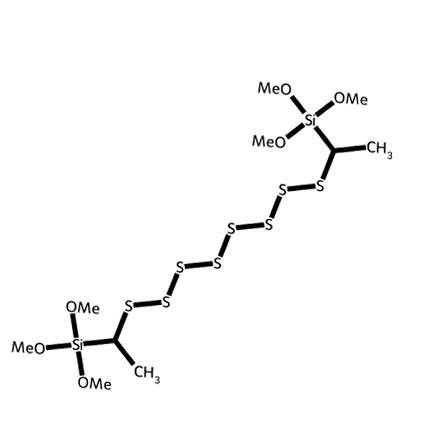 CO[Si](OC)(OC)C(C)SSSSSSSSC(C)[Si](OC)(OC)OC